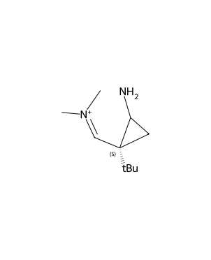 C[N+](C)=C[C@]1(C(C)(C)C)CC1N